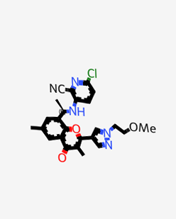 COCCn1cc(-c2oc3c([C@@H](C)Nc4ccc(Cl)nc4C#N)cc(C)cc3c(=O)c2C)cn1